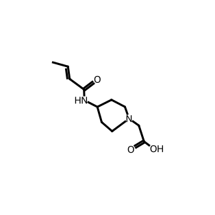 CC=CC(=O)NC1CCN(CC(=O)O)CC1